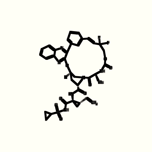 C=C[C@@H]1C[C@]1(NC(=O)[C@@H]1C[C@@H]2CN1C(=O)[C@H](C(C)(C)C)NC(=O)OCC(F)(F)/C=C/c1cccc(c1)-c1nc3ccccc3nc1O2)C(=O)NS(=O)(=O)C1CC1